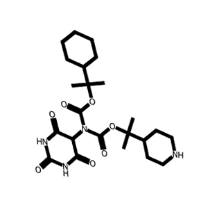 CC(C)(OC(=O)N(C(=O)OC(C)(C)C1CCNCC1)C1C(=O)NC(=O)NC1=O)C1CCCCC1